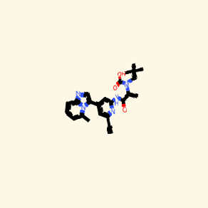 C#Cc1cc(-c2cnc3cccc(C)n23)cc(NC(=O)C(C)N(CC(C)(C)C)C(=O)O)n1